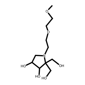 COCCOCCN1CC(O)C(O)C1(CO)CO